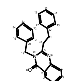 O=c1c2ccccc2nc(CCc2ccccc2)n1Cc1ccccc1